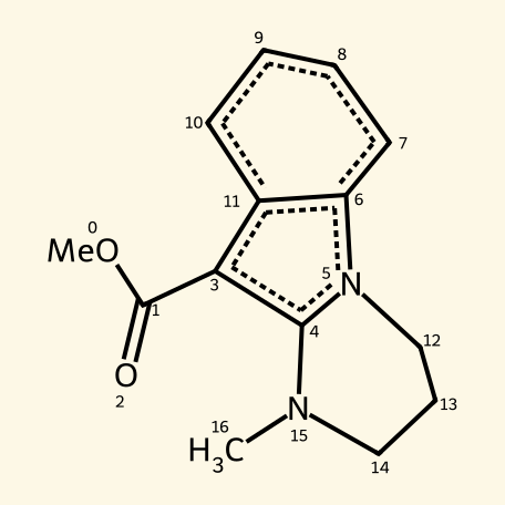 COC(=O)c1c2n(c3ccccc13)CCCN2C